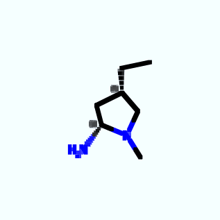 CC[C@H]1C[C@@H](N)N(C)C1